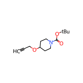 C#CCOC1CCN(C(=O)OC(C)(C)C)CC1